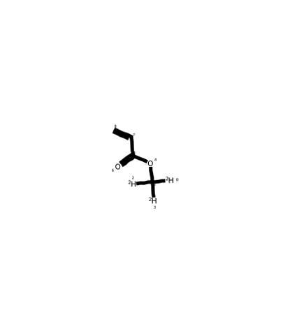 [2H]C([2H])([2H])OC(=O)C=C